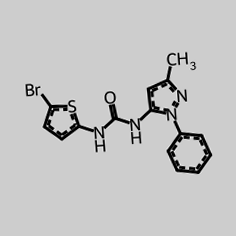 Cc1cc(NC(=O)Nc2ccc(Br)s2)n(-c2ccccc2)n1